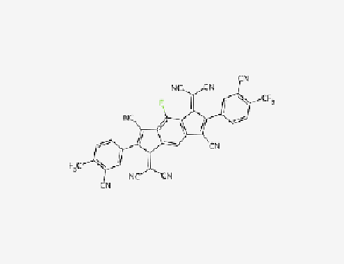 N#CC(C#N)=C1C(c2ccc(C(F)(F)F)c(C#N)c2)=C(C#N)c2c1cc1c(c2F)C(=C(C#N)C#N)C(c2ccc(C(F)(F)F)c(C#N)c2)=C1C#N